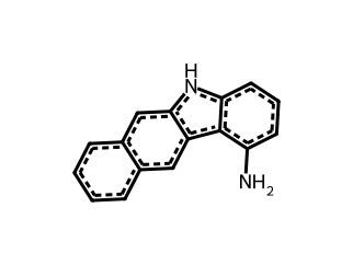 Nc1cccc2[nH]c3cc4ccccc4cc3c12